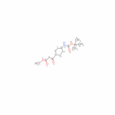 COC(=O)CC(=O)C1CCC(NC(=O)OC(C)(C)C)CC1